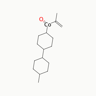 C=[C](C)[Co](=[O])[CH]1CCC(C2CCC(C)CC2)CC1